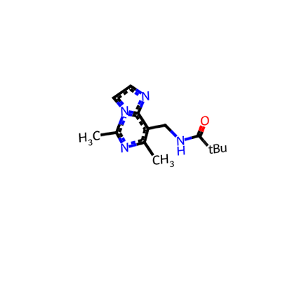 Cc1nc(C)n2ccnc2c1CNC(=O)C(C)(C)C